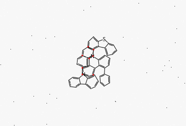 c1ccc(-c2ccccc2-c2c(-c3ccccc3)cccc2N(c2cccc(-n3c4ccccc4c4ccccc43)c2)c2cccc3sc4ccccc4c23)cc1